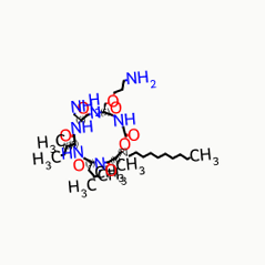 CCCCCCCCCC[C@H]1OC(=O)CNC(=O)[C@H](COCCCN)NC(=O)[C@H](CN)NC(=O)[C@H]([C@@H](C)CC)NC(=O)[C@H](CC(C)C)N(C)C(=O)[C@@H]1C